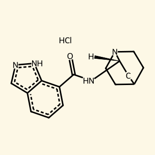 Cl.O=C(N[C@H]1CC2CCN1CC2)c1cccc2cn[nH]c12